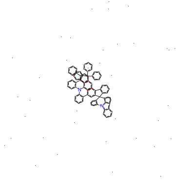 c1ccc(-c2ccccc2-c2ccccc2N(c2ccccc2-c2ccc3c(c2)C2(c4ccccc4-3)c3ccccc3-n3c4ccccc4c4cccc2c43)c2cccc3c2-c2ccccc2C3(c2ccccc2)c2ccccc2)cc1